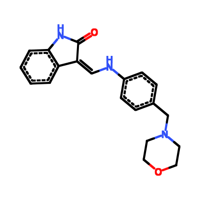 O=C1Nc2ccccc2C1=CNc1ccc(CN2CCOCC2)cc1